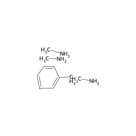 CN.CN.CN.Cc1ccccc1